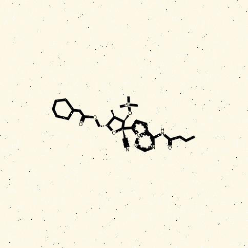 CCCC(=O)Nc1ncnn2c([C@]3(C#N)O[C@H](COC(=O)CC4CCCCC4)[C@@H](C)[C@H]3O[Si](C)(C)C)ccc12